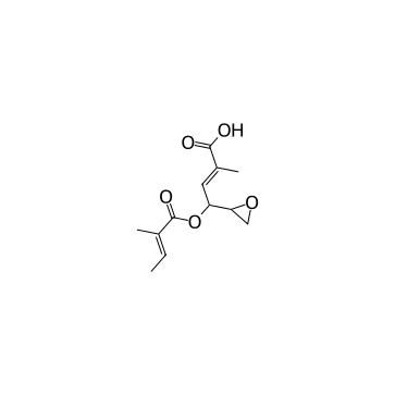 CC=C(C)C(=O)OC(C=C(C)C(=O)O)C1CO1